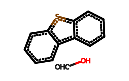 O=CO.c1ccc2c(c1)sc1ccccc12